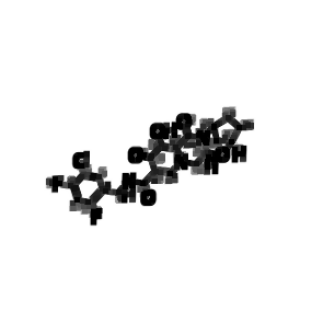 O=C(NCc1cc(Cl)c(F)cc1F)c1cn2c(c(O)c1=O)C(=O)N1C3CC[C@H](C3)O[C@@H]1C2